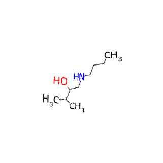 CCCCNCC(O)C(C)C